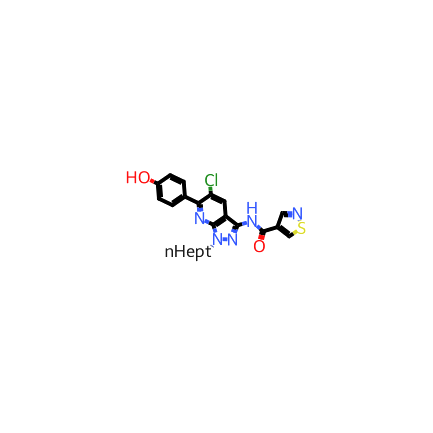 CCCCCCCn1nc(NC(=O)c2cnsc2)c2cc(Cl)c(-c3ccc(O)cc3)nc21